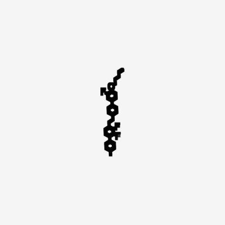 C=CCCCOc1ccc(-c2ccc(CCc3ccc(-c4ccc(C)cc4)c(F)c3F)cc2)cc1F